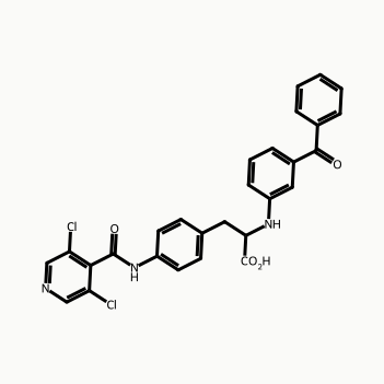 O=C(c1ccccc1)c1cccc(NC(Cc2ccc(NC(=O)c3c(Cl)cncc3Cl)cc2)C(=O)O)c1